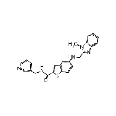 Cn1c(CNc2ccc3sc(C(=O)NCc4cccnc4)cc3c2)nc2ccccc21